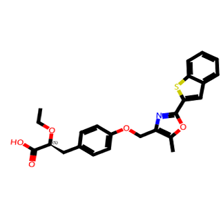 CCO[C@@H](Cc1ccc(OCc2nc(-c3cc4ccccc4s3)oc2C)cc1)C(=O)O